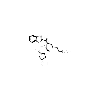 CNCCCCC(NC(=O)[C@@H]1C[C@@H](O)CN1C(C)=O)C(=O)c1nc2ccccc2s1